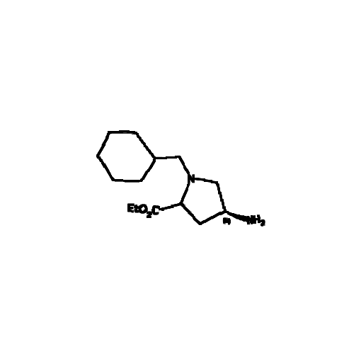 CCOC(=O)C1C[C@H](N)CN1CC1CCCCC1